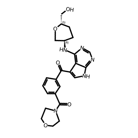 O=C(c1cccc(C(=O)N2CCOCC2)c1)c1c[nH]c2ncnc(N[C@@H]3CC[C@@H](CO)OC3)c12